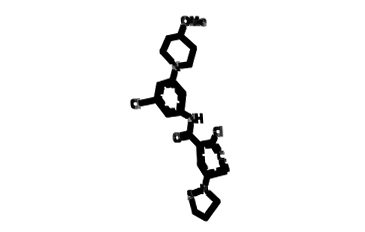 COC1CCN(c2cc(Cl)cc(NC(=O)c3cc(N4CCCS4)ccc3Cl)c2)CC1